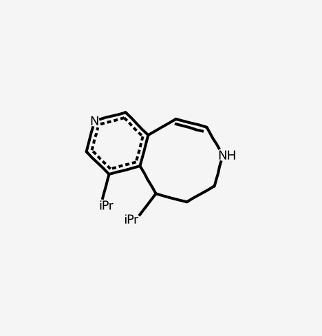 CC(C)c1cncc2c1C(C(C)C)CCN/C=C\2